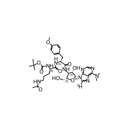 [3H]c1nc2c(N(C)C)ncnc2n1[C@@H]1O[C@H](CO)C(NC(=O)[C@H](Cc2ccc(OC)cc2)NC(=O)[C@@H](CCCNC(C)=O)NC(=O)OC(C)(C)C)[C@@H]1O